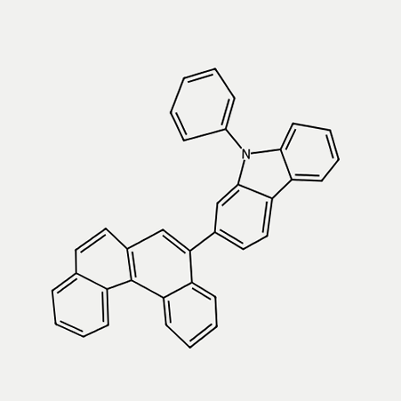 c1ccc(-n2c3ccccc3c3ccc(-c4cc5ccc6ccccc6c5c5ccccc45)cc32)cc1